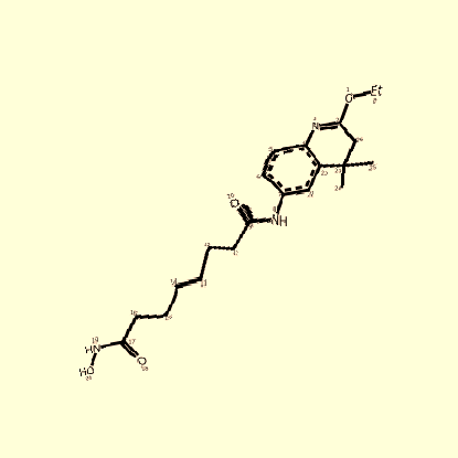 CCOC1=Nc2ccc(NC(=O)CCCCCCC(=O)NO)cc2C(C)(C)C1